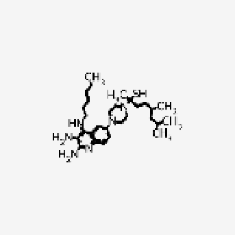 CCCCCCNc1c(N)c(N)nc2ccc(N3CCN(C(C)(S)CCC(C)CC(C)C)CC3)cc12